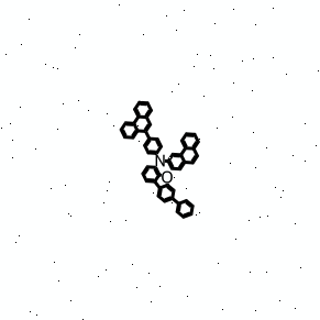 c1ccc(-c2ccc3c(c2)oc2c(N(c4ccc(-c5cc6ccccc6c6ccccc56)cc4)c4ccc5ccc6ccccc6c5c4)cccc23)cc1